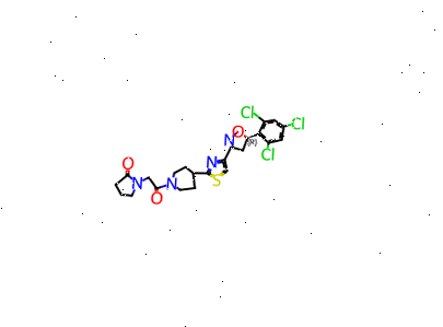 O=C(CN1CCCC1=O)N1CCC(c2nc(C3=NO[C@@H](c4c(Cl)cc(Cl)cc4Cl)C3)cs2)CC1